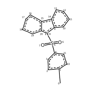 Cc1ccc(S(=O)(=O)n2c3ccccc3c3ccccc32)cc1